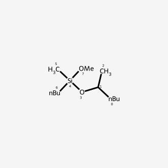 CCCCC(C)O[Si](C)(CCCC)OC